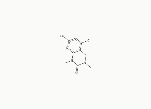 CC(C)c1cc(Cl)c2c(n1)N(C)C(=O)N(C)C2